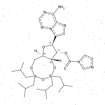 CC(C)C[Si]1(CC(C)C)OC[C@H]2O[C@@H](c3cnc4c(N)ncnn34)[C@H](OC(=S)n3ccnc3)[C@@H]2O[Si](CC(C)C)(CC(C)C)O1